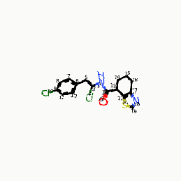 O=C(NC(Cl)Cc1ccc(Cl)cc1)C1CCCc2ncsc21